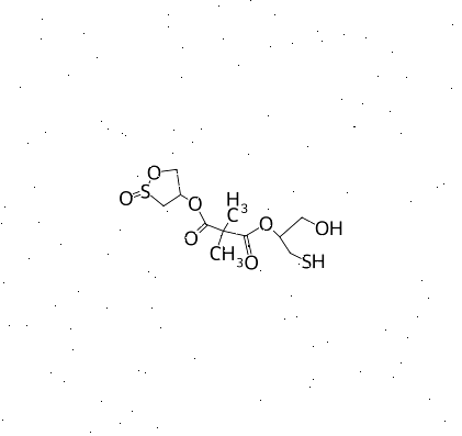 CC(C)(C(=O)OC(CO)CS)C(=O)OC1COS(=O)C1